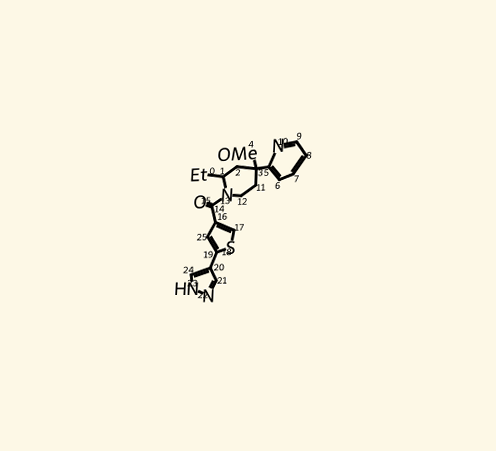 CCC1CC(OC)(c2ccccn2)CCN1C(=O)c1csc(-c2cn[nH]c2)c1